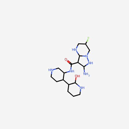 NC1NN2CC(F)CNC2C1C(=O)NC1CNCCC1C1CCCNC1O